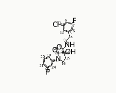 O=C(NCCc1cc(F)cc(Cl)c1)[C@@]1(O)CCN(c2cccc(F)c2)C1=O